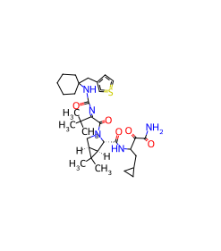 CC(C)(C)/C(=N\C(=O)NC1(Cc2ccsc2)CCCCC1)C(=O)N1C[C@H]2[C@@H]([C@H]1C(=O)NC(CC1CC1)C(=O)C(N)=O)C2(C)C